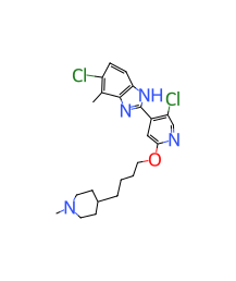 Cc1c(Cl)ccc2[nH]c(-c3cc(OCCCCC4CCN(C)CC4)ncc3Cl)nc12